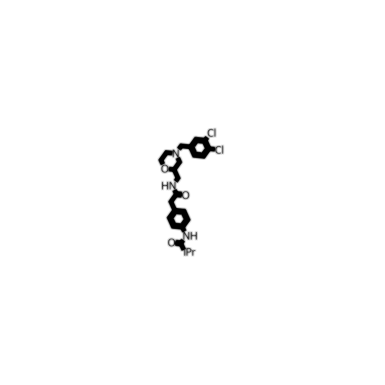 CC(C)C(=O)Nc1ccc(CC(=O)NCC2CN(Cc3ccc(Cl)c(Cl)c3)CCO2)cc1